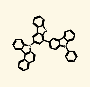 c1ccc(-n2c3ccccc3c3cc(-c4cc(-n5c6ccccc6c6c7ccccc7ccc65)cc5c4sc4ccccc45)ccc32)cc1